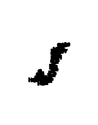 COC(=O)N[C@H](C(=O)N1CCCC1c1nc2cc(-c3csc4c(-c5ccc(-c6cnc(C7CCCN7C(=O)[C@H](NC(=O)CO)c7ccccc7)[nH]6)cc5)csc34)ccc2[nH]1)C(C)C